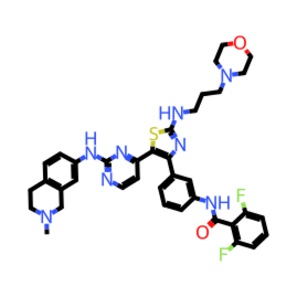 CN1CCc2ccc(Nc3nccc(-c4sc(NCCCN5CCOCC5)nc4-c4cccc(NC(=O)c5c(F)cccc5F)c4)n3)cc2C1